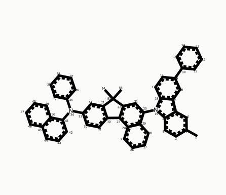 Cc1ccc2c(c1)c1cc(-c3ccccc3)ccc1n2-c1cc2c(c3ccccc13)-c1ccc(N(c3ccccc3)c3cccc4ccccc34)cc1C2(C)C